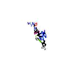 CCN(Cc1ccc(C(F)(F)F)cc1F)c1ncnc(NC[C@H]2CCN(CC(N)=O)C[C@@H]2O)c1F